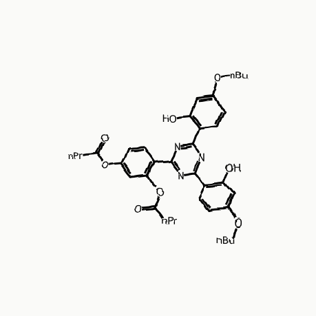 CCCCOc1ccc(-c2nc(-c3ccc(OCCCC)cc3O)nc(-c3ccc(OC(=O)CCC)cc3OC(=O)CCC)n2)c(O)c1